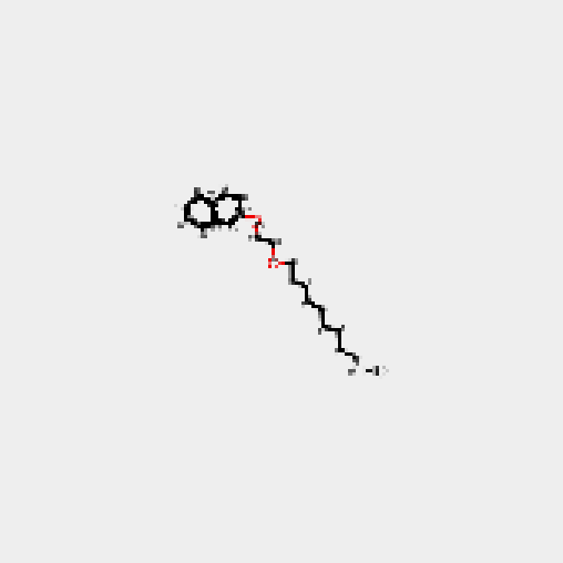 O=CCCCCCCCCCOCCOc1ccc2ccccc2c1